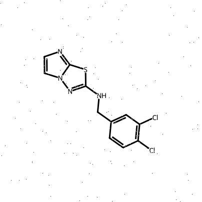 Clc1ccc(CNc2nn3ccnc3s2)cc1Cl